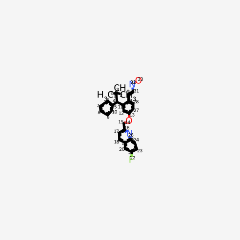 CC(C)(C)C(c1ccccc1)c1cc(OCc2ccc3cc(F)ccc3n2)ccc1/C=C/N=O